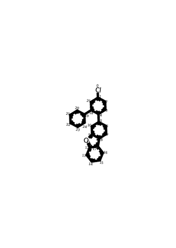 Clc1ccc(-c2ccc3c(c2)oc2ccccc23)c(-c2ccccc2)c1